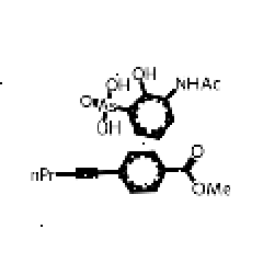 CC(=O)Nc1cccc([As](=O)(O)O)c1O.CCCC#Cc1ccc(C(=O)OC)cc1